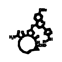 COc1ccc2c(OC3CC4C(=O)NC5([C]=O)CC5/C=C/CCCCN(C(N)=O)C(=O)C4C3)cc(-c3csc(NC(C)C)n3)nc2c1